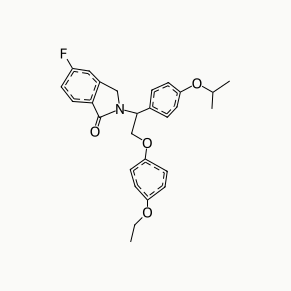 CCOc1ccc(OCC(c2ccc(OC(C)C)cc2)N2Cc3cc(F)ccc3C2=O)cc1